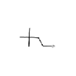 [CH2]C(C)CCC([CH2])(C)C